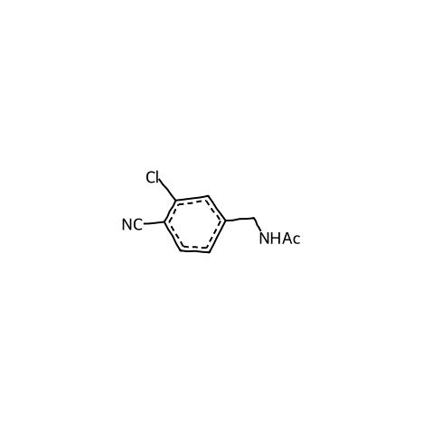 CC(=O)NCc1ccc(C#N)c(Cl)c1